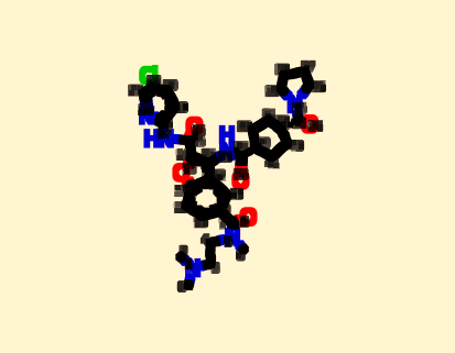 CN(C)CCN(C)C(=O)c1ccc2oc(C(=O)Nc3ccc(Cl)cn3)c(NC(=O)[C@H]3CC[C@H](C(=O)N4CCCC4)CC3)c2c1